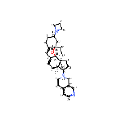 C[C@]12CC=C3C=C4CCC(N5CCC5)C[C@]45CC[C@]3(O5)[C@@H]1CCC2N1CCc2ccncc2C1